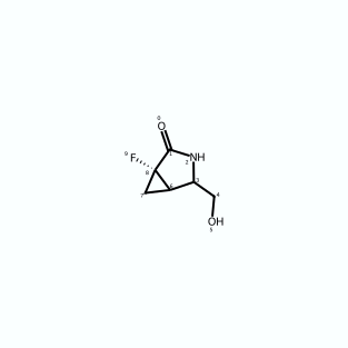 O=C1NC(CO)C2C[C@@]12F